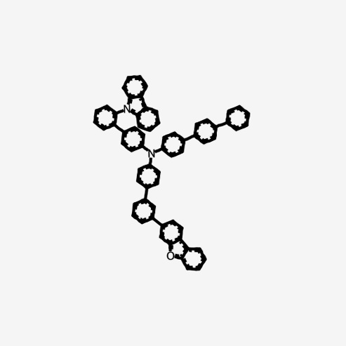 c1ccc(-c2ccc(-c3ccc(N(c4ccc(-c5cccc(-c6ccc7c(c6)oc6ccccc67)c5)cc4)c4ccc(-c5ccccc5-n5c6ccccc6c6ccccc65)cc4)cc3)cc2)cc1